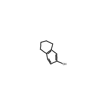 Oc1ccc2c(c1)CCC[C]2